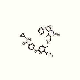 CO/N=C1/OC[C@@H](c2ccccc2)N1C1CCN(Cc2ccc(Oc3ccc(C(=O)NC4CC4)cc3)nc2C)CC1